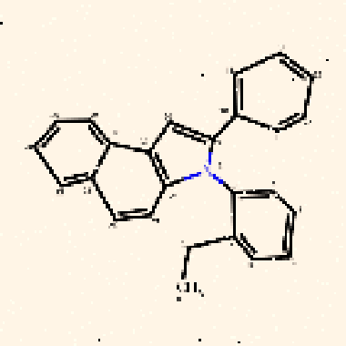 CCc1ccccc1-n1c(-c2ccccc2)cc2c3ccccc3ccc21